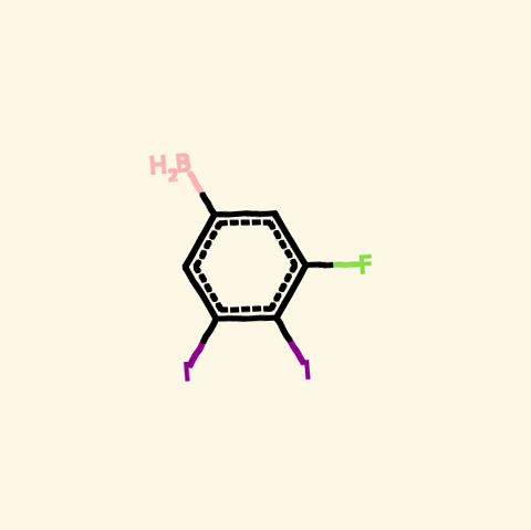 Bc1cc(F)c(I)c(I)c1